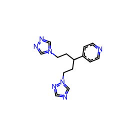 c1cc([C](CCn2cnnc2)CCn2cncn2)ccn1